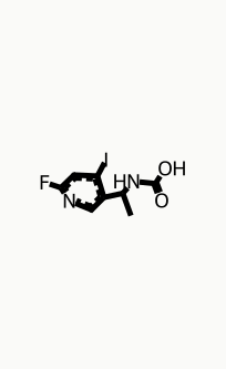 CC(NC(=O)O)c1cnc(F)cc1I